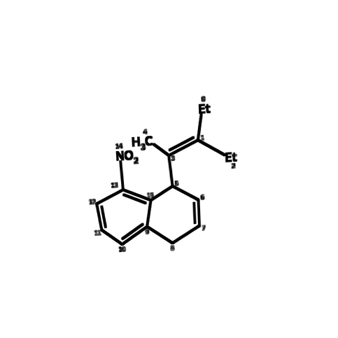 CCC(CC)=C(C)C1C=CCc2cccc([N+](=O)[O-])c21